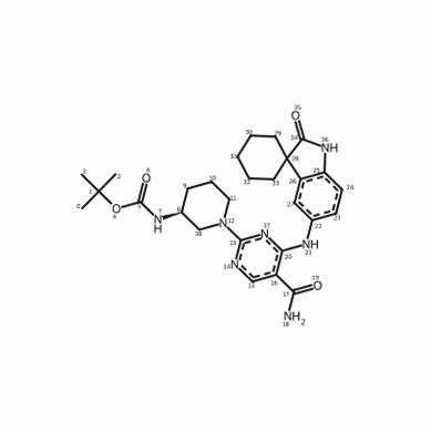 CC(C)(C)OC(=O)N[C@H]1CCCN(c2ncc(C(N)=O)c(Nc3ccc4c(c3)C3(CCCCC3)C(=O)N4)n2)C1